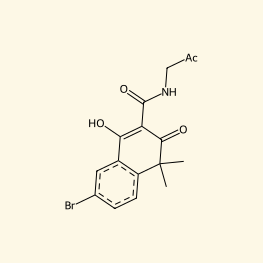 CC(=O)CNC(=O)C1=C(O)c2cc(Br)ccc2C(C)(C)C1=O